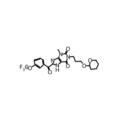 Cn1c(=O)n(CCCOC2CCCCO2)c(=O)c2[nH]c(C(=O)c3cccc(OC(F)(F)F)c3)nc21